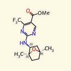 COC(=O)c1cnc(N[C@H]2C[C@@]3(C)CC[C@]2(C)O3)nc1C(F)(F)F